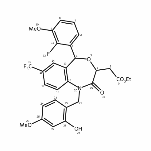 CCOC(=O)CC1OC(c2cccc(OC)c2F)c2cc(C(F)(F)F)ccc2N(Cc2ccc(OC)cc2O)C1=O